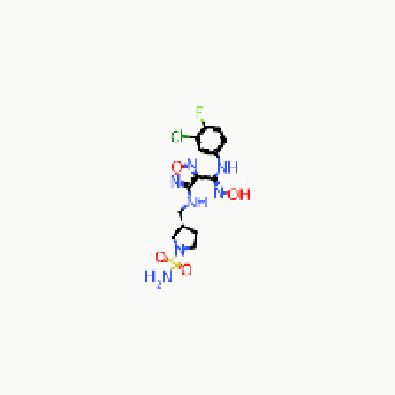 NS(=O)(=O)N1CC[C@H](CNc2nonc2/C(=N/O)Nc2ccc(F)c(Cl)c2)C1